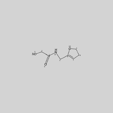 O=C(CO)NCC1=CCCO1